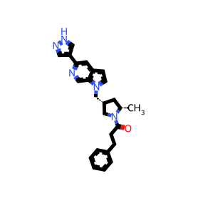 C[C@H]1C[C@@H](Cn2ccc3cc(-c4cn[nH]c4)ncc32)CN1C(=O)CCc1ccccc1